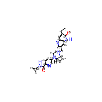 CCc1cc2ncc(CN3CCN(c4ccc(C(=O)NC5CC5)nc4)[C@@H]4CCC43)cc2[nH]c1=O